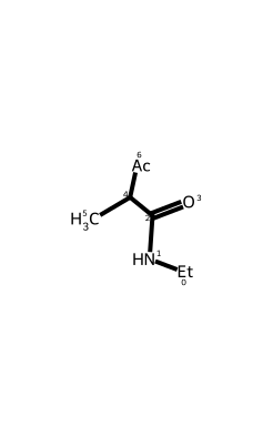 CCNC(=O)C(C)C(C)=O